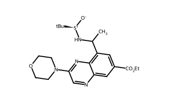 CCOC(=O)c1cc(C(C)N[S@+]([O-])C(C)(C)C)c2nc(N3CCOCC3)cnc2c1